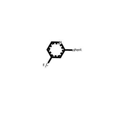 CCCCCc1cc(C(F)(F)F)ccn1